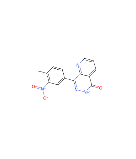 Cc1ccc(-c2n[nH]c(=O)c3cccnc23)cc1[N+](=O)[O-]